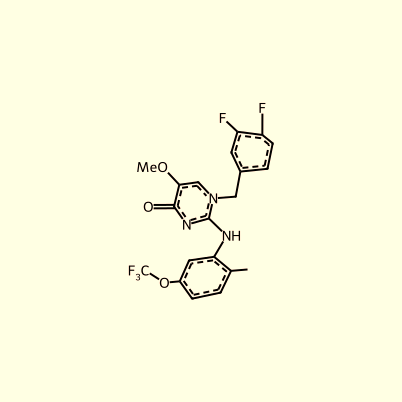 COc1cn(Cc2ccc(F)c(F)c2)c(Nc2cc(OC(F)(F)F)ccc2C)nc1=O